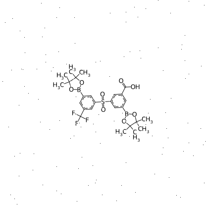 CC1(C)OB(c2cc(C(=O)O)cc(S(=O)(=O)c3cc(B4OC(C)(C)C(C)(C)O4)cc(C(F)(F)F)c3)c2)OC1(C)C